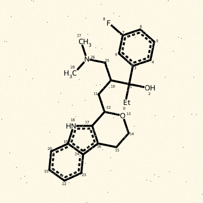 CCC(O)(c1cccc(F)c1)C(CC1OCCc2c1[nH]c1ccccc21)CN(C)C